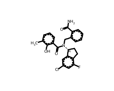 Cc1cccc(C(=O)N(Cc2ccccc2C(N)=O)[C@@H]2CCc3c(F)cc(Cl)cc32)c1O